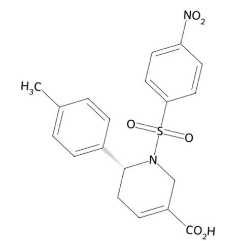 Cc1ccc([C@H]2CC=C(C(=O)O)CN2S(=O)(=O)c2ccc([N+](=O)[O-])cc2)cc1